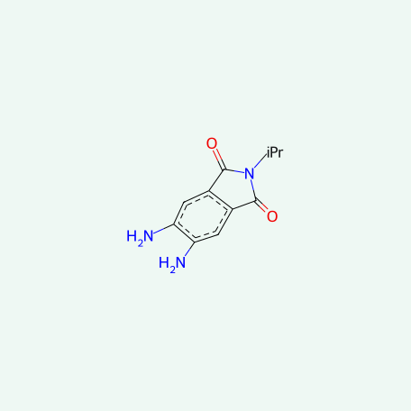 CC(C)N1C(=O)c2cc(N)c(N)cc2C1=O